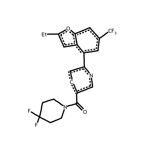 CCc1cc2c(-c3ccc(C(=O)N4CCC(F)(F)CC4)cn3)cc(C(F)(F)F)cc2o1